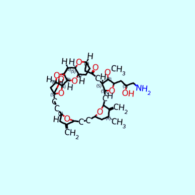 C=C1C[C@@H]2CC[C@@]34C[C@H]5OC6[C@@H](O[C@H]7CC[C@H](CC(=O)C[C@H]8[C@H](CC9OC(CCC1O2)C[C@@H](C)C9=C)OC(C[C@H](O)CN)[C@@H]8OC)O[C@@H]7[C@@H]6O3)[C@H]5O4